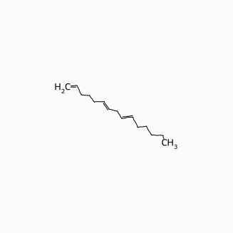 C=CCCCC=CCC=CCCCCC